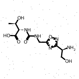 C[C@@H](O)[C@H](NC(=O)NCc1nc([C@@H](N)CO)no1)C(=O)O